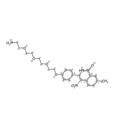 Cc1ccc2c([N+](=O)[O-])c(-c3ccc(OCCOCCOCCOCCN)cc3)[nH]c(=O)c2c1